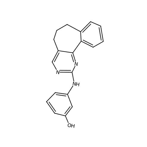 Oc1cccc(Nc2ncc3c(n2)-c2ccccc2CCC3)c1